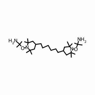 CC(C)(N)ON1C(C)(C)CC(CCCCCCC2CC(C)(C)N(OC(C)(C)N)C(C)(C)C2)CC1(C)C